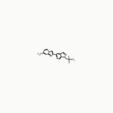 FC(F)(F)c1ccn2cc(-c3cc4cnn(CC(F)(F)C(F)(F)F)c4cn3)nc2c1